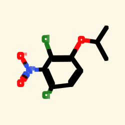 CC(C)Oc1ccc(Cl)c([N+](=O)[O-])c1Cl